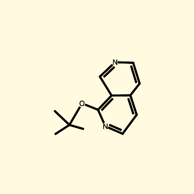 CC(C)(C)Oc1nccc2ccncc12